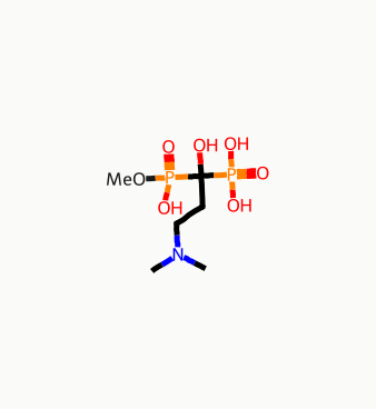 COP(=O)(O)C(O)(CCN(C)C)P(=O)(O)O